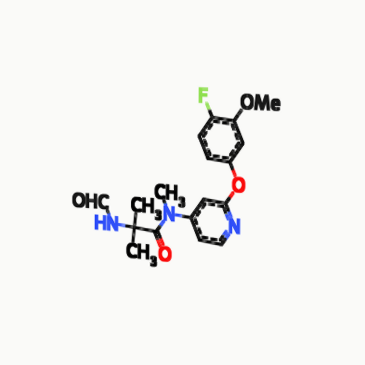 COc1cc(Oc2cc(N(C)C(=O)C(C)(C)NC=O)ccn2)ccc1F